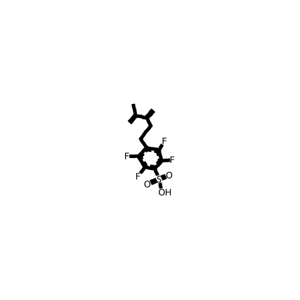 C=C(C)C(=C)CCc1c(F)c(F)c(S(=O)(=O)O)c(F)c1F